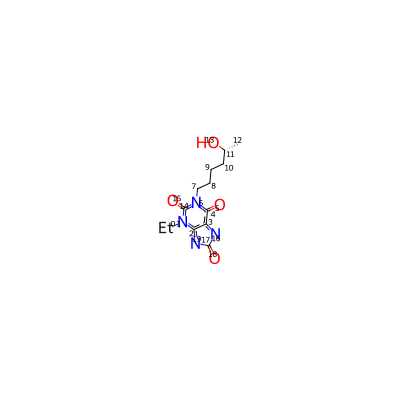 CCn1c2c(c(=O)n(CCCC[C@@H](C)O)c1=O)=NC(=O)N=2